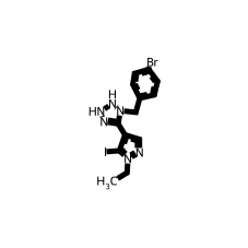 CCn1ncc(C2=NNNN2Cc2ccc(Br)cc2)c1I